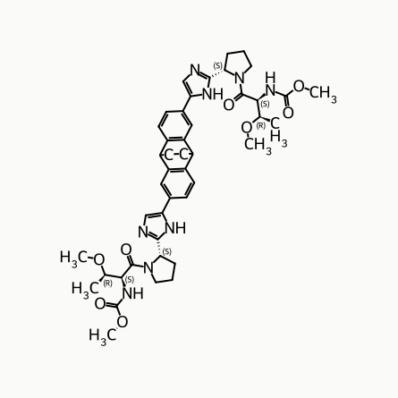 COC(=O)N[C@H](C(=O)N1CCC[C@H]1c1ncc(-c2ccc3c(c2)C2CCC3c3cc(-c4cnc([C@@H]5CCCN5C(=O)[C@@H](NC(=O)OC)[C@@H](C)OC)[nH]4)ccc32)[nH]1)[C@@H](C)OC